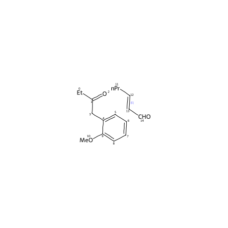 CCC(=O)Cc1ccccc1OC.CCC/C=C/C=O